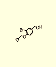 OCc1ccc(OCC2CC2)c(Br)c1